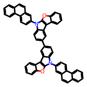 c1ccc2c(c1)ccc1cc(-n3c4ccc(-c5ccc6c(c5)c5c7ccccc7oc5n6-c5ccc6c(ccc7ccccc76)c5)cc4c4c5ccccc5oc43)ccc12